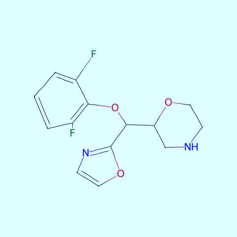 Fc1cccc(F)c1OC(c1ncco1)C1CNCCO1